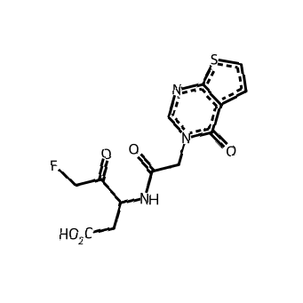 O=C(O)CC(NC(=O)Cn1cnc2sccc2c1=O)C(=O)CF